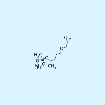 CCO[Si](C)(OCC)OC(C)CCCOCC1CO1